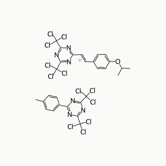 CC(C)Oc1ccc(/C=C/c2nc(C(Cl)(Cl)Cl)nc(C(Cl)(Cl)Cl)n2)cc1.Cc1ccc(-c2nc(C(Cl)(Cl)Cl)nc(C(Cl)(Cl)Cl)n2)cc1